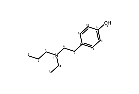 CCCN(CC)CCc1ccc(O)cc1